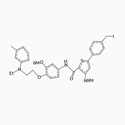 CCN(CCOc1ccc(NC(=O)c2sc(-c3ccc(CI)cc3)cc2NC)cc1OC)c1cccc(C)c1